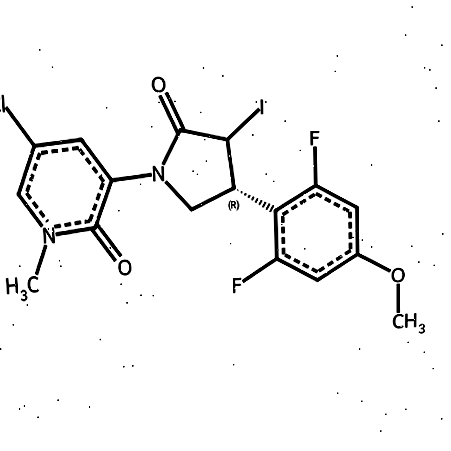 COc1cc(F)c([C@@H]2CN(c3cc(Cl)cn(C)c3=O)C(=O)C2I)c(F)c1